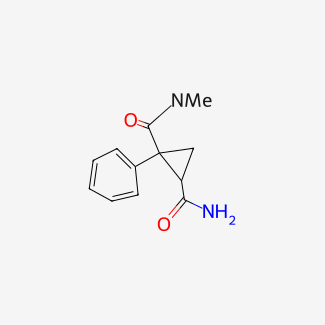 CNC(=O)C1(c2ccccc2)CC1C(N)=O